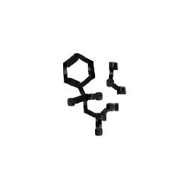 CCOCC.O=[PH](O)CS(=O)(=O)c1ccccc1